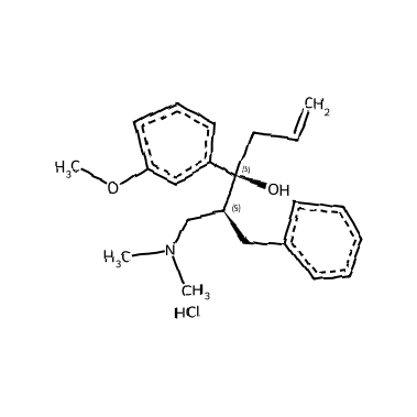 C=CC[C@@](O)(c1cccc(OC)c1)[C@@H](Cc1ccccc1)CN(C)C.Cl